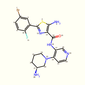 Nc1sc(-c2cc(Br)ccc2F)nc1C(=O)Nc1cnccc1N1CCC[C@H](N)C1